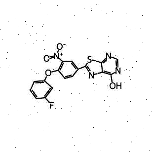 O=[N+]([O-])c1cc(-c2nc3c(O)ncnc3s2)ccc1Oc1cccc(F)c1